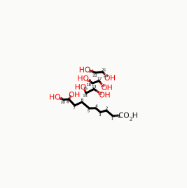 O=C(O)CCCCCCCC(O)CO.OCCO.OCCO.OCCO